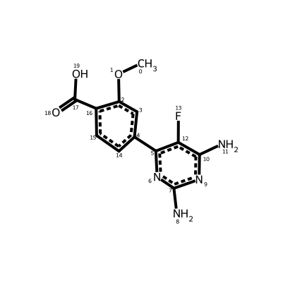 COc1cc(-c2nc(N)nc(N)c2F)ccc1C(=O)O